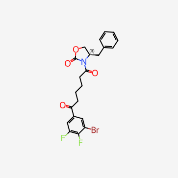 O=C(CCCCC(=O)N1C(=O)OC[C@H]1Cc1ccccc1)c1cc(F)c(F)c(Br)c1